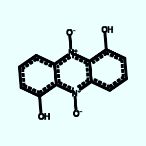 [O-][n+]1c2cccc(O)c2[n+]([O-])c2cccc(O)c21